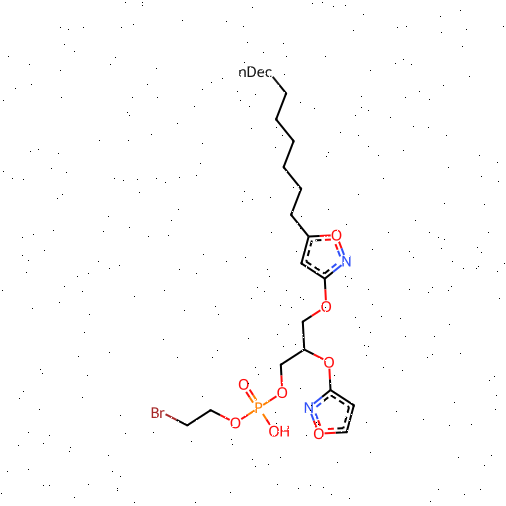 CCCCCCCCCCCCCCCCc1cc(OCC(COP(=O)(O)OCCBr)Oc2ccon2)no1